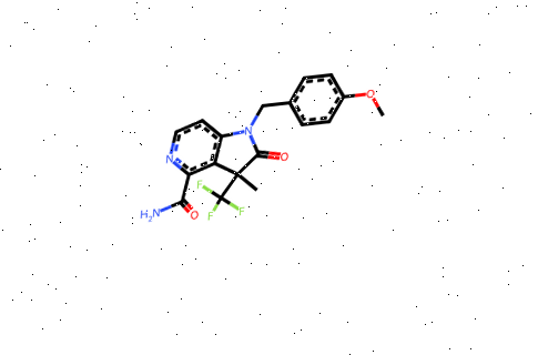 COc1ccc(CN2C(=O)C(C)(C(F)(F)F)c3c2ccnc3C(N)=O)cc1